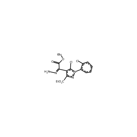 CCOC(=O)c1nn(-c2ccccc2Cl)c(Cl)c1C(=NN)C(=O)OC(C)(C)C